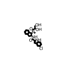 CN(C(=O)[C@@H](O)CO)[C@@H]1c2ccccc2C[C@H]1NC(=O)c1cc2cc(Cl)ccc2[nH]1